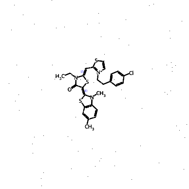 CCn1c(=O)/c(=C2\Sc3cc(C)ccc3N2C)s/c1=C\c1scc[n+]1CCc1ccc(Cl)cc1